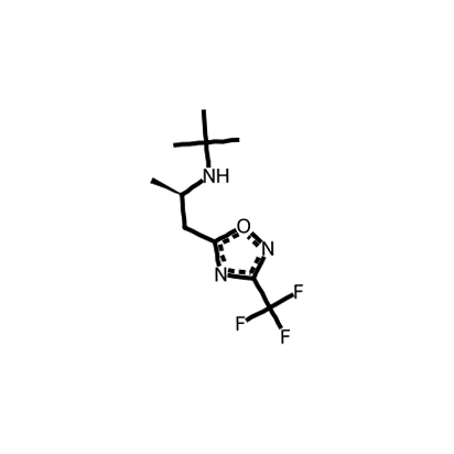 C[C@H](Cc1nc(C(F)(F)F)no1)NC(C)(C)C